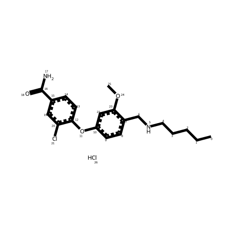 CCCCCNCc1ccc(Oc2ccc(C(N)=O)cc2Cl)cc1OC.Cl